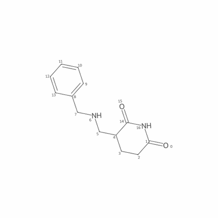 O=C1CCC(CNCc2ccccc2)C(=O)N1